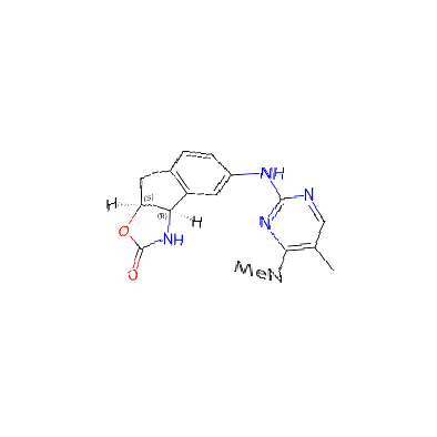 CNc1nc(Nc2ccc3c(c2)[C@H]2NC(=O)O[C@H]2C3)ncc1C